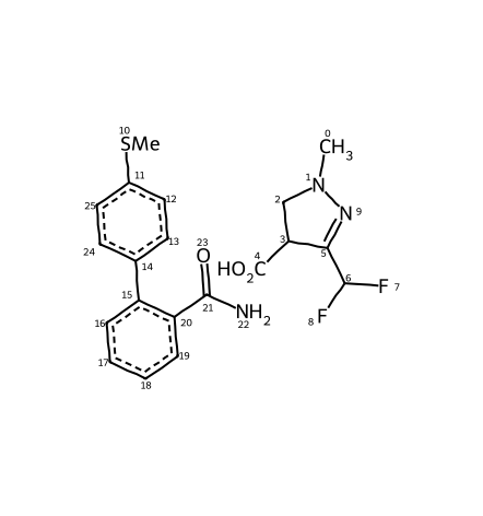 CN1CC(C(=O)O)C(C(F)F)=N1.CSc1ccc(-c2ccccc2C(N)=O)cc1